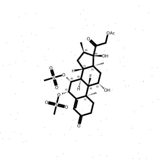 CC(=O)OCC(=O)[C@@]1(O)[C@H](C)C[C@H]2[C@@H]3[C@@H](OS(C)(=O)=O)[C@@H](OS(C)(=O)=O)C4=CC(=O)CC[C@]4(C)[C@@]3(F)[C@@H](O)C[C@@]21C